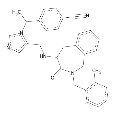 Cc1ccccc1CN1Cc2ccccc2CC(NCc2cncn2C(C)c2ccc(C#N)cc2)C1=O